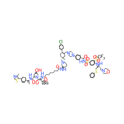 Cc1ncsc1-c1ccc([C@H](C)NC(=O)[C@@H]2C[C@@H](O)CN2C(=O)[C@@H](NC(=O)CCCCCCC(=O)N[C@@H]2CCCN(CC3(C)CCC(c4ccc(Cl)cc4)=C(CN4CCN(c5ccc(C(=O)NS(=O)(=O)c6ccc(N[C@H](CCN7CCOCC7)CSc7ccccc7)c(S(=O)(=O)C(F)(F)F)c6)cc5)CC4)C3)C2)C(C)(C)C)cc1